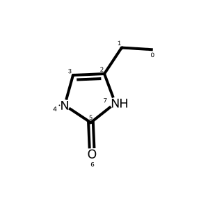 CCC1=C[N]C(=O)N1